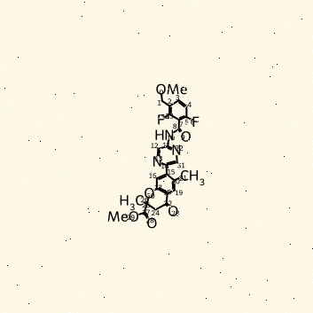 COCc1ccc(F)c(C(=O)Nc2cnc(-c3cc4c(cc3C)C(=O)CC(C)(C(=O)OC)O4)cn2)c1F